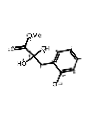 COC(=O)C(O)(O)Cc1ccccc1Cl